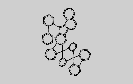 c1ccc(-c2ccccc2-n2c3cc4c(cc3c3ccc5ccccc5c32)C2(c3ccccc3-4)c3ccccc3C3(c4ccccc4-c4ccccc43)c3ccccc32)cc1